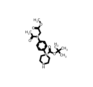 COC(=O)CN(C(C)=O)c1ccc([N+]2(C(=O)OC(C)(C)C)CCNCC2)cc1